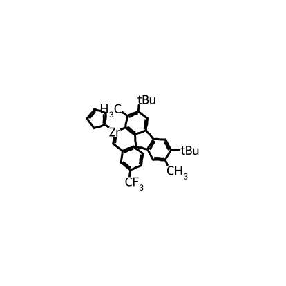 Cc1cc2c(cc1C(C)(C)C)-c1cc(C(C)(C)C)c(C)[c](/[Zr](=[CH]\c3cccc(C(F)(F)F)c3)[C]3=CC=CC3)c1C2